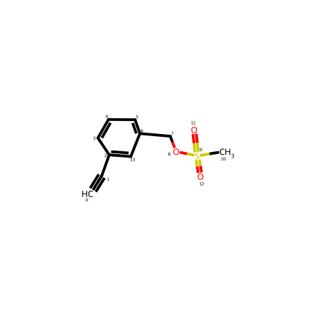 C#Cc1cccc(COS(C)(=O)=O)c1